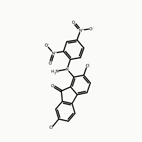 NN(c1ccc([N+](=O)[O-])cc1[N+](=O)[O-])c1c(Cl)ccc2c1C(=O)c1cc(Cl)ccc1-2